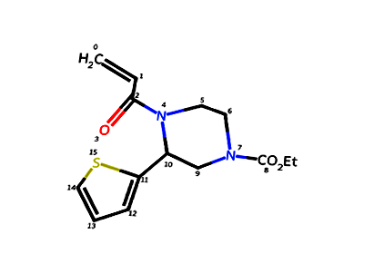 C=CC(=O)N1CCN(C(=O)OCC)CC1c1cccs1